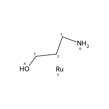 NCCCO.[Ru]